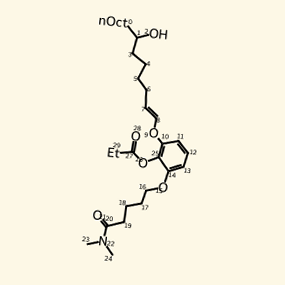 CCCCCCCCC(O)CCCCC=COc1cccc(OCCCCC(=O)N(C)C)c1OC(=O)CC